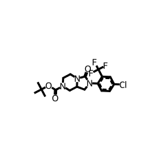 CC(C)(C)OC(=O)N1CCN2C(=O)N(c3ccc(Cl)cc3C(F)(F)F)CC2C1